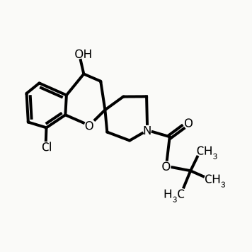 CC(C)(C)OC(=O)N1CCC2(CC1)CC(O)c1cccc(Cl)c1O2